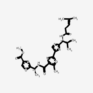 COC(=O)c1coc([C@H](C)NC(=O)c2nc(-c3csc([C@@H](NC(=O)CC=C(C)C)C(C)C)n3)oc2C)n1